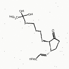 CCCCCC/C=C/[C@H]1CCC(=O)[C@@H]1SCCCSC(O)(O)C(=O)O